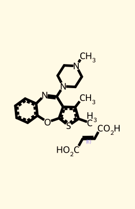 Cc1sc2c(c1C)C(N1CCN(C)CC1)=Nc1ccccc1O2.O=C(O)/C=C/C(=O)O